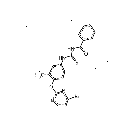 Cc1cc(NC(=S)NC(=O)c2ccccc2)ccc1Oc1nccc(Br)n1